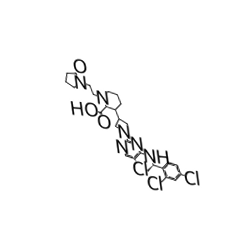 C[C@@H](Nc1nc(N2CC(C3CCCN(CCN4CCCC4=O)C3C(=O)O)C2)ncc1Cl)c1ccc(Cl)cc1Cl